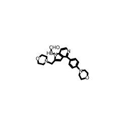 O=CBn1c(CN2CCOCC2)cc2c(-c3ccc(N4CCOCC4)cc3)nccc21